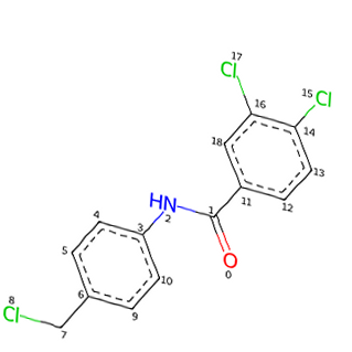 O=C(Nc1ccc(CCl)cc1)c1ccc(Cl)c(Cl)c1